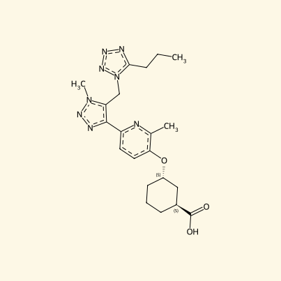 CCCc1nnnn1Cc1c(-c2ccc(O[C@H]3CCC[C@H](C(=O)O)C3)c(C)n2)nnn1C